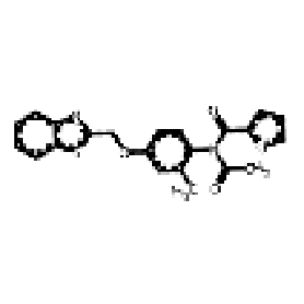 CC(=O)N(C(=O)c1ccco1)c1ccc(OCc2nc3ccccc3s2)cc1C